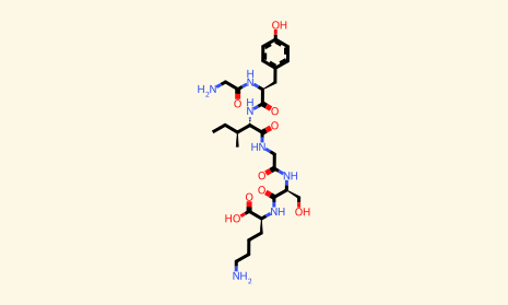 CC[C@H](C)[C@H](NC(=O)[C@H](Cc1ccc(O)cc1)NC(=O)CN)C(=O)NCC(=O)N[C@@H](CO)C(=O)N[C@@H](CCCCN)C(=O)O